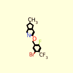 C[C@@H]1Cc2cnc(OCc3cc(Br)c(C(F)(F)F)cc3F)cc2C1